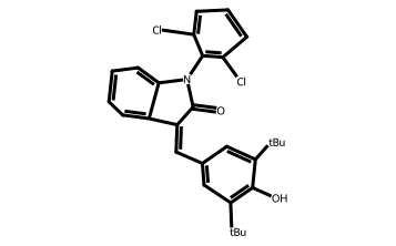 CC(C)(C)c1cc(C=C2C(=O)N(c3c(Cl)cccc3Cl)c3ccccc32)cc(C(C)(C)C)c1O